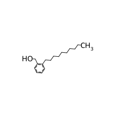 CCCCCCCCCCc1ccccc1CO